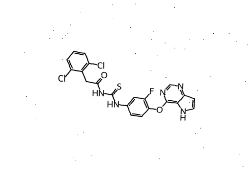 O=C(Cc1c(Cl)cccc1Cl)NC(=S)Nc1ccc(Oc2ncnc3cc[nH]c23)c(F)c1